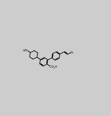 CC/C=C/c1ccc(-c2cc(C3CCC(CCC)CC3)ccc2C(=O)O)cc1